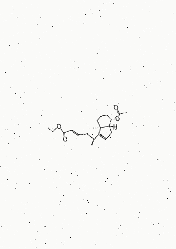 CCOC(=O)C=CC[C@H](C)C1=CC[C@H]2[C@@H](OC(C)=O)CCC[C@]12C